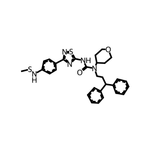 CSNc1ccc(-c2nsc(NC(=O)N(CCC(c3ccccc3)c3ccccc3)C3CCOCC3)n2)cc1